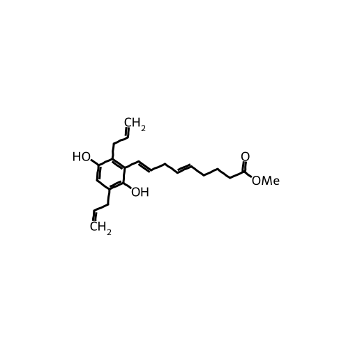 C=CCc1cc(O)c(CC=C)c(C=CCC=CCCCC(=O)OC)c1O